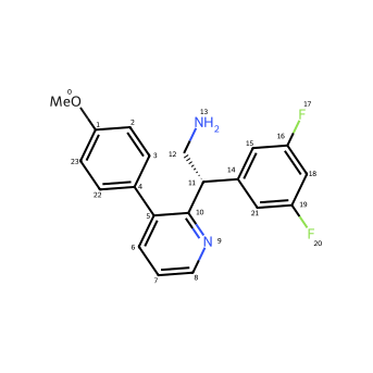 COc1ccc(-c2cccnc2[C@H](CN)c2cc(F)cc(F)c2)cc1